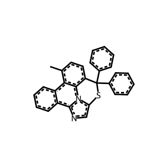 Cc1ccc2c3c1c1ccccc1c1ncc(n13)SC2(c1ccccc1)c1ccccc1